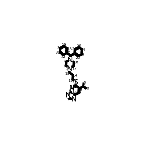 CC(C)c1cc2ncnn2nc1SCCCN1CCN(C(c2ccccc2)c2ccccc2)CC1